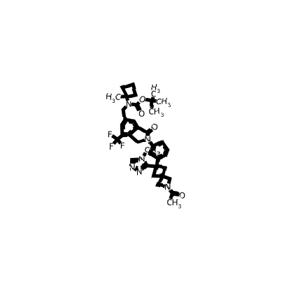 CC(=O)N1CC2(C1)CC(c1cccc(N3Cc4c(cc(CN(C(=O)OC(C)(C)C)C5(C)CCC5)cc4C(F)(F)F)C3=O)c1)(c1nncn1C)C2